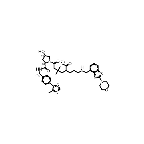 Cc1ncsc1-c1ccc([C@H](C)NC(=O)[C@@H]2C[C@@H](O)CN2C(=O)CC(C)(C)CC(CCCNCc2cccc3sc(N4CCOCC4)nc23)C(N)=O)cc1